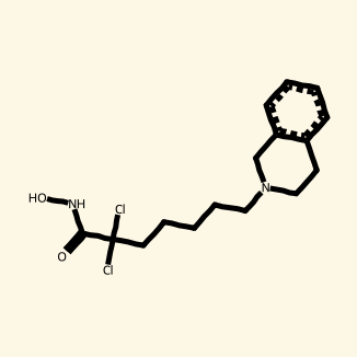 O=C(NO)C(Cl)(Cl)CCCCCN1CCc2ccccc2C1